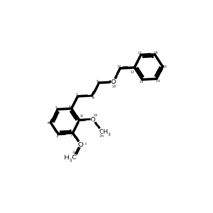 COc1c[c]cc(CCCOCc2ccccc2)c1OC